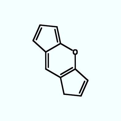 C1=Cc2oc3cccc-3cc2C1